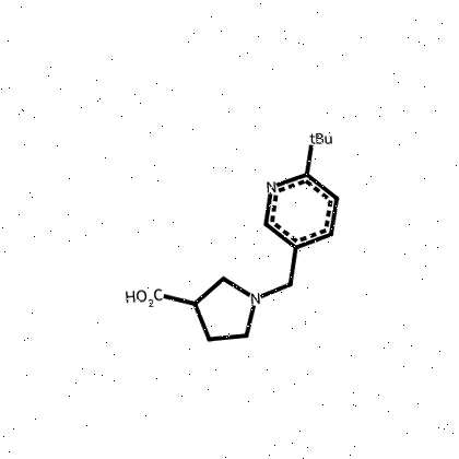 CC(C)(C)c1ccc(CN2CCC(C(=O)O)C2)cn1